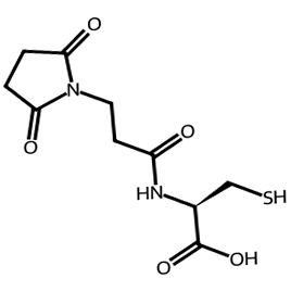 O=C(CCN1C(=O)CCC1=O)N[C@@H](CS)C(=O)O